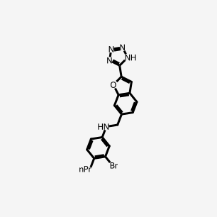 CCCc1ccc(NCc2ccc3cc(-c4nnn[nH]4)oc3c2)cc1Br